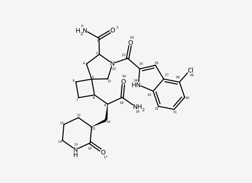 NC(=O)C1CC2(CCC2[C@H](C[C@@H]2CCCNC2=O)C(N)=O)CN1C(=O)c1cc2c(Cl)cccc2[nH]1